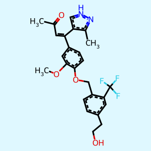 COc1cc(/C(=C/C(C)=O)c2c[nH]nc2C)ccc1OCc1ccc(CCO)cc1C(F)(F)F